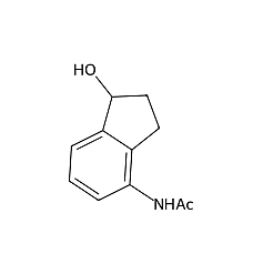 CC(=O)Nc1cccc2c1CCC2O